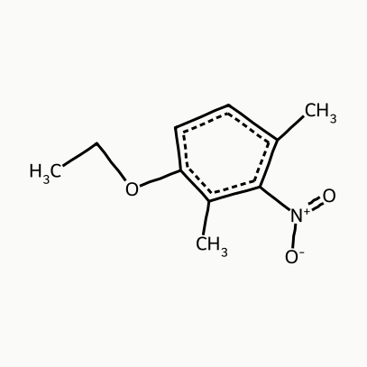 CCOc1ccc(C)c([N+](=O)[O-])c1C